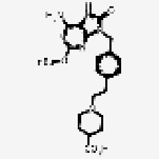 CCCCOc1nc(N)c2[nH]c(=O)n(Cc3ccc(CCN4CCC(C(=O)O)CC4)cc3)c2n1